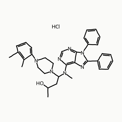 Cc1cccc(N2CCN(C(CC(C)O)N(C)c3ncnc4c3nc(-c3ccccc3)n4-c3ccccc3)CC2)c1C.Cl